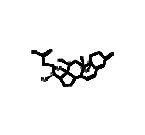 C[C@H](CCC(=O)O)C1CCC2C3C=CC4=CC(=O)CC[C@]4(C)[C@H]3C[C@H](O)C21C